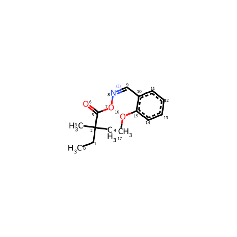 CCC(C)(C)C(=O)O/N=C\c1ccccc1OC